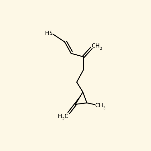 C=C(/C=C/S)CCC1C(=C)C1C